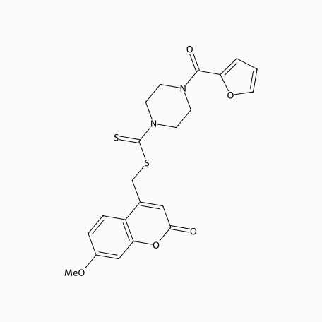 COc1ccc2c(CSC(=S)N3CCN(C(=O)c4ccco4)CC3)cc(=O)oc2c1